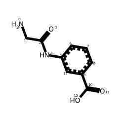 NCC(=O)Nc1cccc(C(=O)O)c1